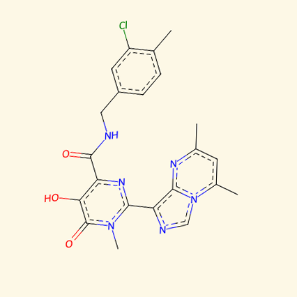 Cc1cc(C)n2cnc(-c3nc(C(=O)NCc4ccc(C)c(Cl)c4)c(O)c(=O)n3C)c2n1